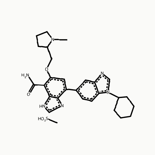 CN1CCCC1COc1cc(-c2ccc3c(c2)ncn3C2CCCCC2)c2nc[nH]c2c1C(N)=O.CS(=O)(=O)O